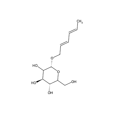 C/C=C/C=C/CO[C@@H]1OC(CO)[C@H](O)[C@@H](O)C1O